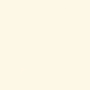 FC(F)(F)c1ccc(C=Cc2cccc(Sc3ccco3)c2)cc1